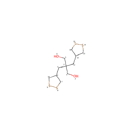 OCC(CO)(CC1CSSC1)CC1CSSC1